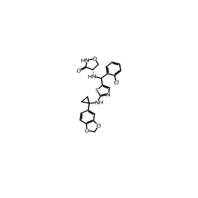 O=C1NOC[C@@H]1NC(c1cnc(NC2(c3ccc4c(c3)OCO4)CC2)s1)c1ccccc1Cl